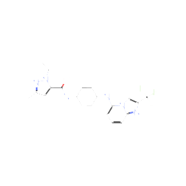 CCn1nc(C)cc1C(=O)N[C@H]1CC[C@@H](Nc2cccc3nc(C(F)(F)F)cn23)CC1